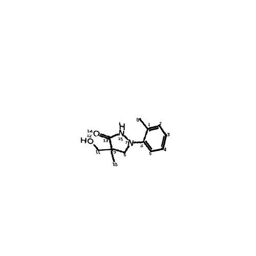 Cc1ccccc1N1CC(C)(CO)C(=O)N1